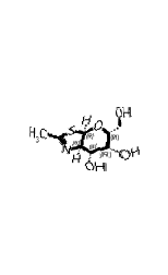 CC1=N[C@@H]2[C@@H](O)[C@@H](O)[C@@H](CO)O[C@@H]2S1